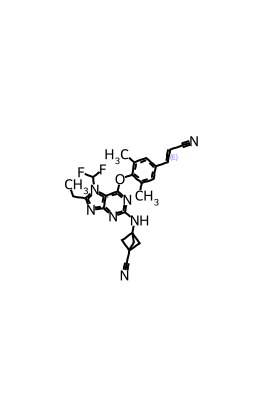 CCc1nc2nc(NC34CC(C#N)(C3)C4)nc(Oc3c(C)cc(/C=C/C#N)cc3C)c2n1C(F)F